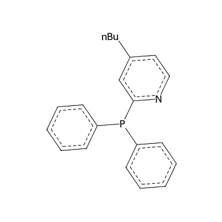 CCCCc1ccnc(P(c2ccccc2)c2ccccc2)c1